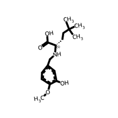 COc1ccc(CN[C@@H](CCC(C)(C)C)C(=O)O)cc1O